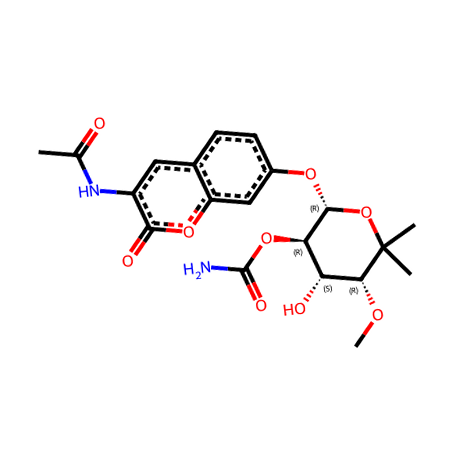 CO[C@@H]1[C@H](O)[C@@H](OC(N)=O)[C@H](Oc2ccc3cc(NC(C)=O)c(=O)oc3c2)OC1(C)C